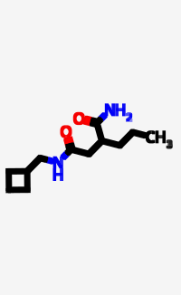 CCCC(CC(=O)NCC1CCC1)C(N)=O